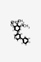 COc1cc(-c2cncc(-c3ccccc3)c2)cc(OC)c1OC